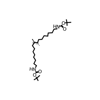 C[C@H](CCCCCCCCNC(=O)OC(C)(C)C)[C@@H](C)CCCCCCCCNC(=O)OC(C)(C)C